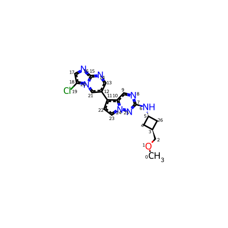 COC[C@H]1C[C@H](Nc2ncc3c(-c4cnc5ncc(Cl)n5c4)ccn3n2)C1